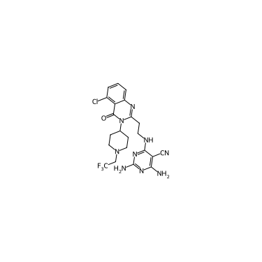 N#Cc1c(N)nc(N)nc1NCCc1nc2cccc(Cl)c2c(=O)n1C1CCN(CC(F)(F)F)CC1